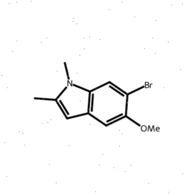 COc1cc2cc(C)n(C)c2cc1Br